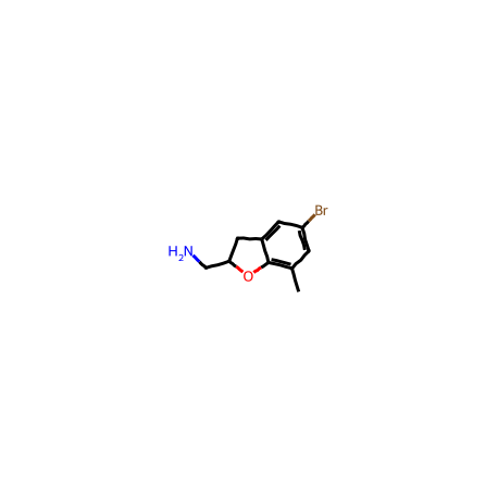 Cc1cc(Br)cc2c1OC(CN)C2